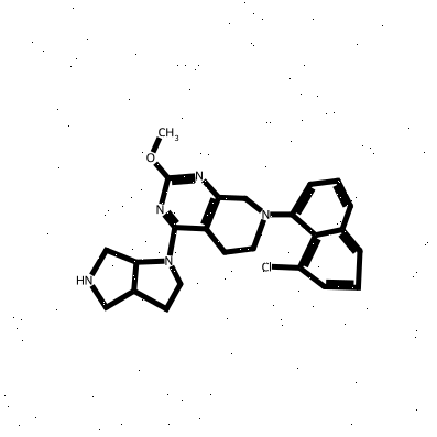 COc1nc2c(c(N3CCC4CNCC43)n1)CCN(c1cccc3cccc(Cl)c13)C2